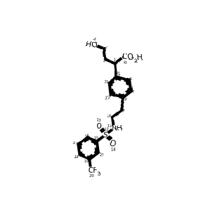 O=C(O)C(CCO)c1ccc(CCNS(=O)(=O)c2cccc(C(F)(F)F)c2)cc1